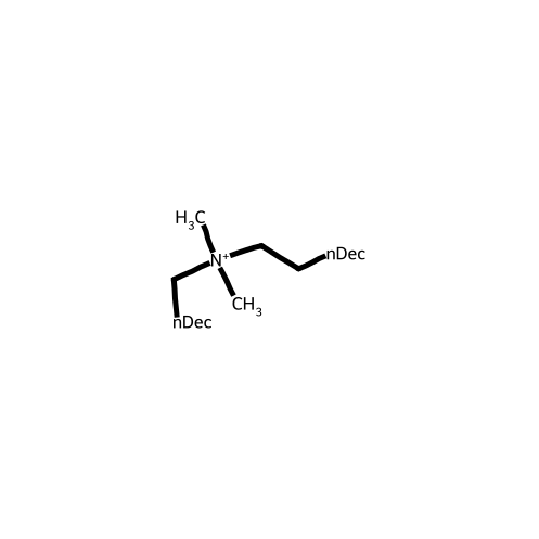 CCCCCCCCCCCC[N+](C)(C)CCCCCCCCCCC